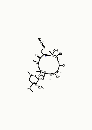 CC[C@H]1OC(=O)[C@H](C)[C@@H](O)[C@H](C)[C@@H](O[C@@H]2O[C@H](C)C[C@H](N(C)C)[C@H]2OC(C)=O)[C@@](C)(OC)C[C@@H](C)C(=O)/C(CN=[N+]=[N-])=C/[C@]1(C)O